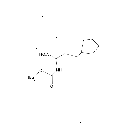 CC(C)(C)OC(=O)NC(CCC1CCCC1)C(=O)O